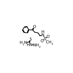 CS(=O)(=O)NCCCC(=O)c1ccccc1.NNC(N)=S